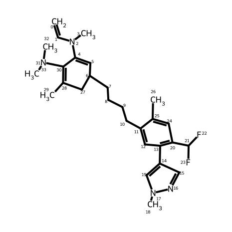 C=CN(C)C1=CC(CCCCc2cc(-c3cnn(C)c3)c(C(F)F)cc2C)CC(C)=C1N(C)C